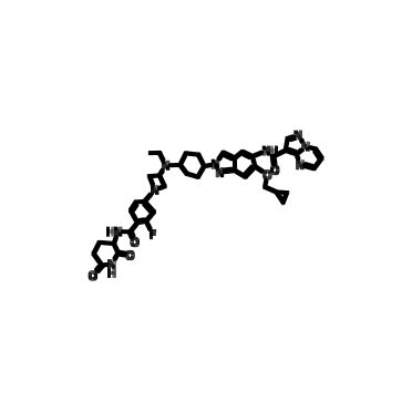 CCN(C1CCC(n2cc3cc(NC(=O)c4cnn5cccnc45)c(OCC4CC4)cc3n2)CC1)C1CN(c2ccc(C(=O)NC3CCC(=O)NC3=O)c(F)c2)C1